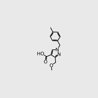 COCc1nn(Cc2ccc(C)cc2)cc1C(=O)O